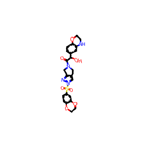 O=C(C(O)c1ccc2c(c1)NCCO2)N1Cc2cn(S(=O)(=O)c3ccc4c(c3)OCCO4)nc2C1